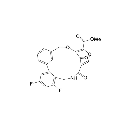 COC(=O)c1occ2c(=O)c1OCc1cccc(c1)-c1cc(F)cc(F)c1CNC2=O